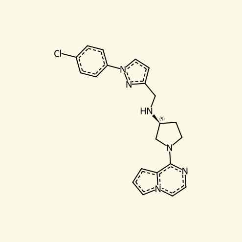 Clc1ccc(-n2ccc(CN[C@H]3CCN(c4nccn5cccc45)C3)n2)cc1